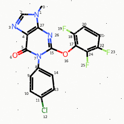 Cn1cnc2c(=O)n(-c3ccc(Cl)cc3)c(Oc3c(F)ccc(F)c3F)nc21